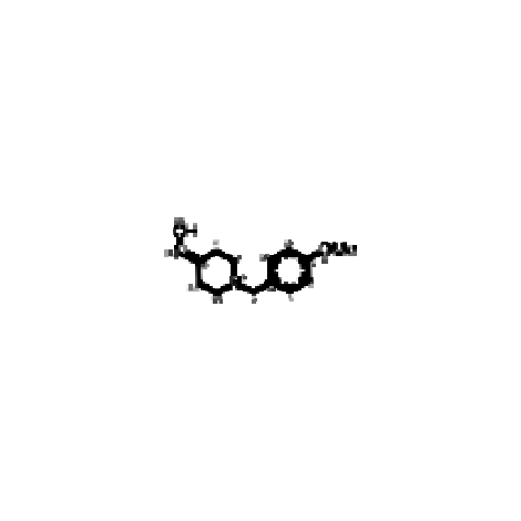 COc1ccc(CN2CCC(=NO)CC2)cc1